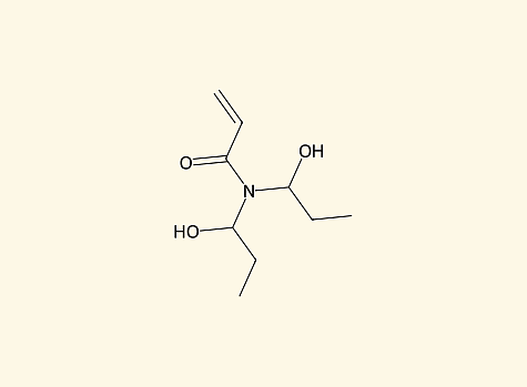 C=CC(=O)N(C(O)CC)C(O)CC